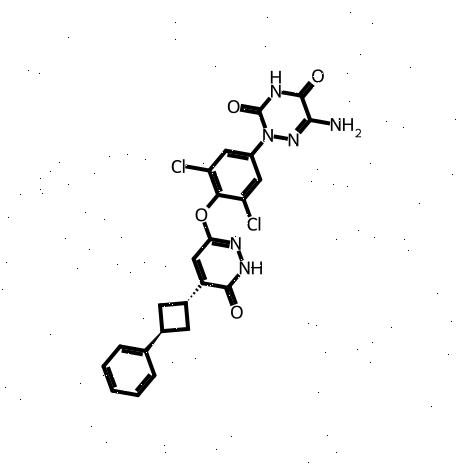 Nc1nn(-c2cc(Cl)c(Oc3cc([C@H]4C[C@H](c5ccccc5)C4)c(=O)[nH]n3)c(Cl)c2)c(=O)[nH]c1=O